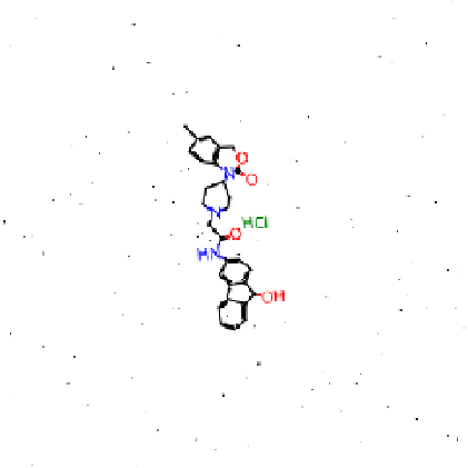 Cc1ccc2c(c1)COC(=O)N2C1CCN(CC(=O)Nc2ccc3c(c2)-c2ccccc2C3O)CC1.Cl